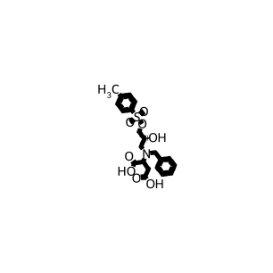 Cc1ccc(S(=O)(=O)OC[C@H](O)CN(Cc2ccccc2)C(CC(=O)O)C(=O)O)cc1